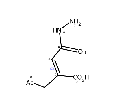 CC(=O)C/C(=C/C(=O)NN)C(=O)O